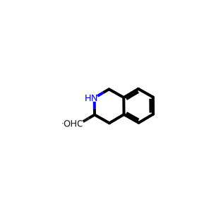 O=[C]C1Cc2ccccc2CN1